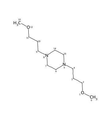 COCCCN1CCN(CCCOC)CC1